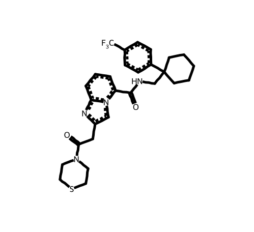 O=C(NCC1(c2ccc(C(F)(F)F)cc2)CCCCC1)c1cccc2nc(CC(=O)N3CCSCC3)cn12